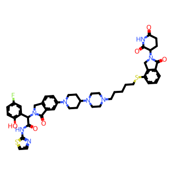 O=C1CCC(N2Cc3c(SCCCCCN4CCN(C5CCN(c6ccc7c(c6)C(=O)N(C(C(=O)Nc6nccs6)c6cc(F)ccc6O)C7)CC5)CC4)cccc3C2=O)C(=O)N1